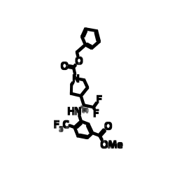 COC(=O)c1ccc(C(F)(F)F)c(N[C@@H](C(F)F)C2CCN(C(=O)OCc3ccccc3)CC2)c1